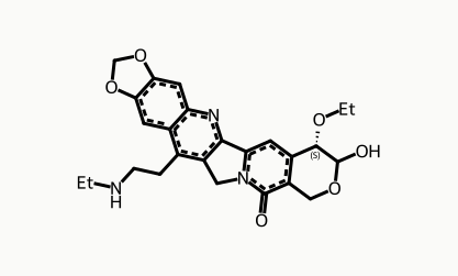 CCNCCc1c2c(nc3cc4c(cc13)OCO4)-c1cc3c(c(=O)n1C2)COC(O)[C@H]3OCC